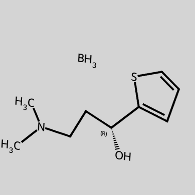 B.CN(C)CC[C@@H](O)c1cccs1